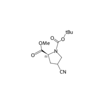 COC(=O)[C@@H]1CC(C#N)CN1C(=O)OC(C)(C)C